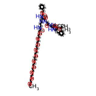 COCCOCCOCCOCCOCCOCCOCCOCCOCCOCC(=O)NCCCC[C@H](NC(=O)OCc1ccccc1)C(=O)NCC(=O)NCC(=O)N[C@@H](Cc1ccccc1)C(=O)OC(C)(C)C